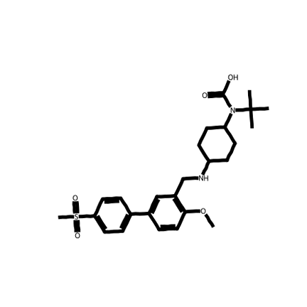 COc1ccc(-c2ccc(S(C)(=O)=O)cc2)cc1CNC1CCC(N(C(=O)O)C(C)(C)C)CC1